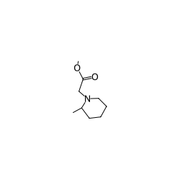 COC(=O)CN1CCCCC1C